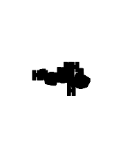 CNC1CCN(c2cc(NC3CC4CCC3C4)nc(N)n2)C1